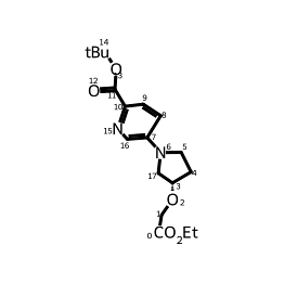 CCOC(=O)CO[C@H]1CCN(c2ccc(C(=O)OC(C)(C)C)nc2)C1